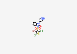 O=c1n(C2=CCNCC2)c2ccccc2n1S(=O)(=O)c1c(Cl)sc(Cl)c1Br